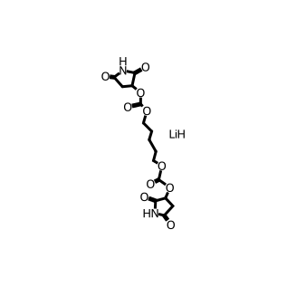 O=C1CC(OC(=O)OCCCCCOC(=O)OC2CC(=O)NC2=O)C(=O)N1.[LiH]